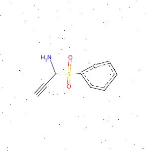 C#CC(N)S(=O)(=O)c1ccccc1